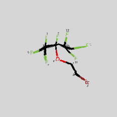 FC(F)(F)C(F)(OCCBr)C(F)(F)F